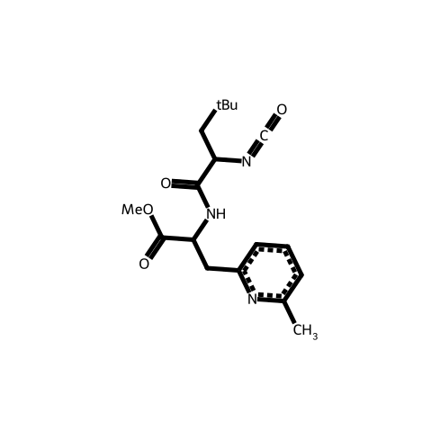 COC(=O)C(Cc1cccc(C)n1)NC(=O)C(CC(C)(C)C)N=C=O